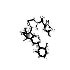 Cc1n[nH]c(C(=O)N2CCO[C@@H]([C@@]34CC[C@@H](c5cc(-c6c(F)cccc6F)nnc53)C4(C)C)C2)n1